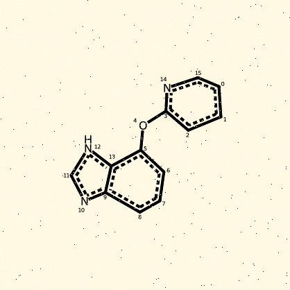 c1ccc(Oc2cccc3nc[nH]c23)nc1